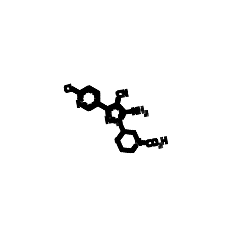 N#Cc1c(-c2ccc(Cl)nc2)nn(C2CCCN(C(=O)O)C2)c1N